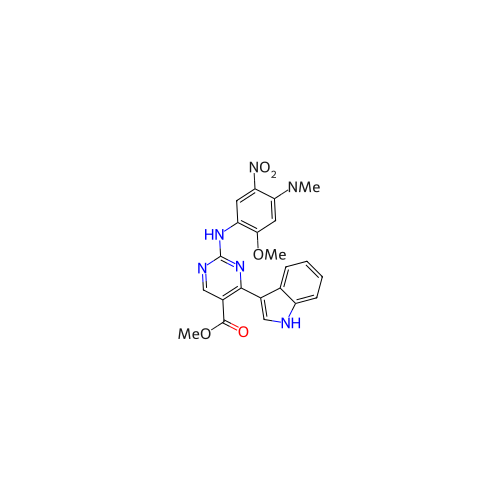 CNc1cc(OC)c(Nc2ncc(C(=O)OC)c(-c3c[nH]c4ccccc34)n2)cc1[N+](=O)[O-]